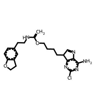 C=C(NCCc1ccc2c(c1)CCO2)OCCCCC1C=Nc2c(N)nc(Cl)nc21